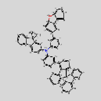 CC1(C)c2ccccc2-c2ccc(N(c3cccc(-c4ccc5oc6ccccc6c5c4)c3)c3cccc(-c4cccc5c4-c4ccccc4C54c5ccccc5-c5ccccc54)c3)cc21